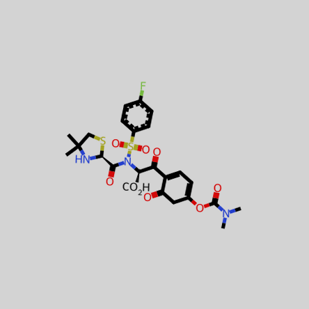 CN(C)C(=O)OC1=CC=C(C(=O)[C@@H](C(=O)O)N(C(=O)[C@H]2NC(C)(C)CS2)S(=O)(=O)c2ccc(F)cc2)C(=O)C1